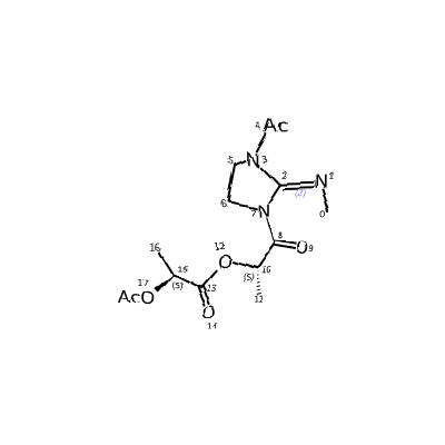 C/N=C1/N(C(C)=O)CCN1C(=O)[C@H](C)OC(=O)[C@H](C)OC(C)=O